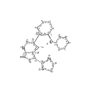 c1ccc(Oc2ccccc2-c2cnc3[nH]cc(-c4nccs4)c3c2)cc1